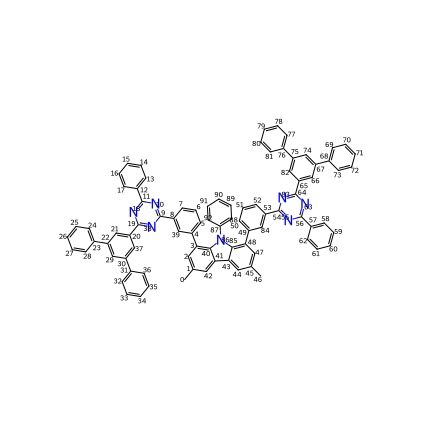 Cc1cc(-c2cccc(-c3nc(-c4ccccc4)nc(-c4cc(-c5ccccc5)cc(-c5ccccc5)c4)n3)c2)c2c(c1)c1cc(C)cc(-c3cccc(-c4nc(-c5ccccc5)nc(-c5cc(-c6ccccc6)cc(-c6ccccc6)c5)n4)c3)c1n2-c1ccccc1